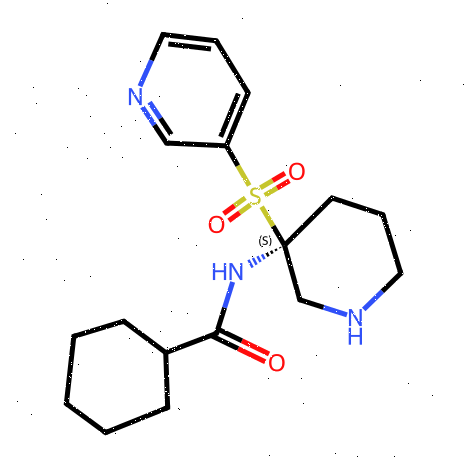 O=C(N[C@]1(S(=O)(=O)c2cccnc2)CCCNC1)C1CCCCC1